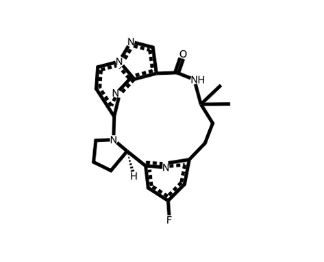 CC1(C)CCc2cc(F)cc(n2)[C@H]2CCCN2c2ccn3ncc(c3n2)C(=O)N1